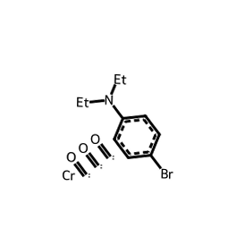 CCN(CC)c1ccc(Br)cc1.[C]=O.[C]=O.[C]=O.[Cr]